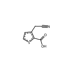 N#CCc1ccsc1C(=O)O